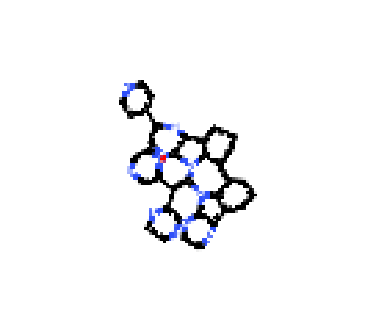 c1cc2c3cccc4c5nc(-c6ccncc6)cnc5n(c(=C(c5cnccn5)c5cnccn5)n5c6nccnc6c(c1)c25)c34